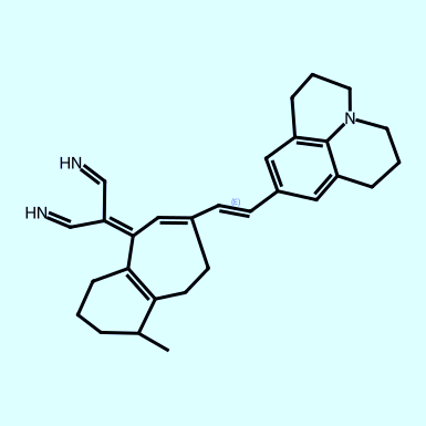 CC1CCCC2=C1CCC(/C=C/c1cc3c4c(c1)CCCN4CCC3)=CC2=C(C=N)C=N